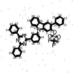 O=S(=O)(Oc1cc2c(cc1-c1ccccc1)c1ccccc1n2-c1cccc(-c2nc(-c3ccccc3)nc(-c3ccccc3)n2)c1)C(F)(F)F